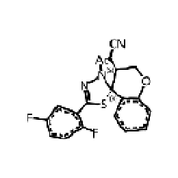 CC(=O)N1N=C(c2cc(F)ccc2F)S[C@]12c1ccccc1OC[C@@H]2CC#N